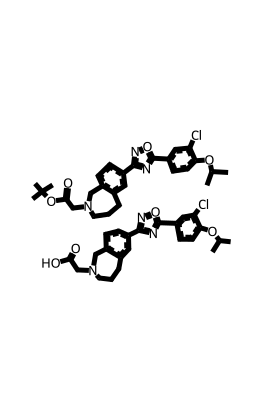 CC(C)Oc1ccc(-c2nc(-c3ccc4c(c3)CCCN(CC(=O)O)C4)no2)cc1Cl.CC(C)Oc1ccc(-c2nc(-c3ccc4c(c3)CCCN(CC(=O)OC(C)(C)C)C4)no2)cc1Cl